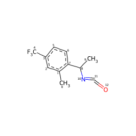 Cc1cc(C(F)(F)F)ccc1C(C)N=C=O